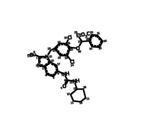 CCCCc1nc2ccc(NC(=O)NC3CCCCC3)cc2n1Cc1cc(Cl)c(OC(C(=O)OCC)c2ccccc2)c(Cl)c1